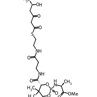 COC(=O)[C@H](C)NP1(=O)OCC(C)(C)[C@H](C(=O)NCCC(=O)NCCSC(=O)CC(=O)C[C@@H](C)O)O1